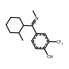 C/N=C(/c1ccc(C#N)c(C(F)(F)F)c1)C1CCCCC1C